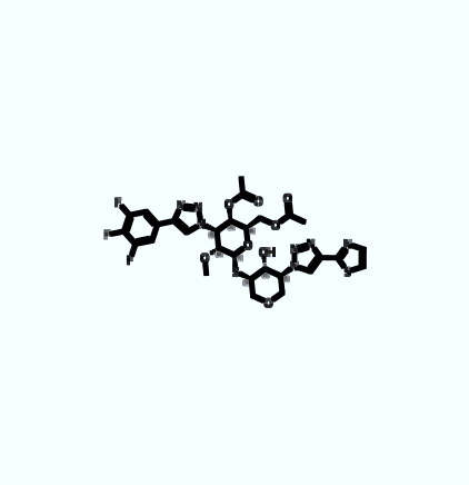 CO[C@@H]1[C@@H](n2cc(-c3cc(F)c(F)c(F)c3)nn2)[C@@H](OC(C)=O)[C@@H](COC(C)=O)O[C@H]1S[C@@H]1COC[C@H](n2cc(-c3nccs3)nn2)[C@H]1O